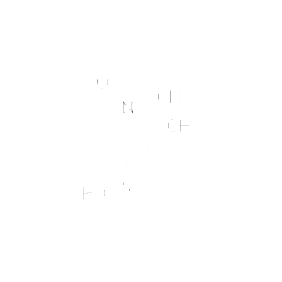 CSc1ccc(C(C(C)C)N2CCOCC2)cc1